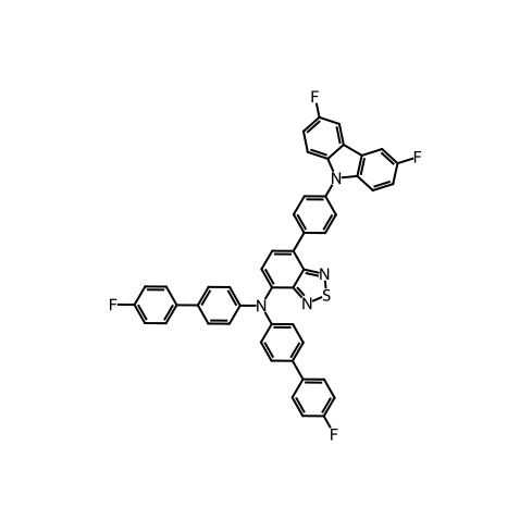 Fc1ccc(-c2ccc(N(c3ccc(-c4ccc(F)cc4)cc3)c3ccc(-c4ccc(-n5c6ccc(F)cc6c6cc(F)ccc65)cc4)c4nsnc34)cc2)cc1